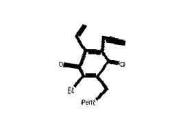 C=CC1=C(C=C)C(=O)C(CC(C)CCC)=C(CC)C1=O